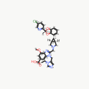 CCn1cncc1Cn1c(CN2C[C@@H]3[C@H](C2)[C@H]3c2cccc3c2O[C@](C)(c2ccc(Cl)cn2)O3)nc2c(OC)cc(C(=O)O)cc21